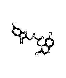 CN(Cc1nc2cc(Cl)ccc2[nH]1)C(=O)Cn1c(=O)cnc2ccc(Cl)cc21